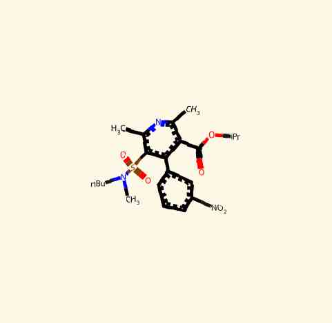 CCCCN(C)S(=O)(=O)c1c(C)nc(C)c(C(=O)OC(C)C)c1-c1cccc([N+](=O)[O-])c1